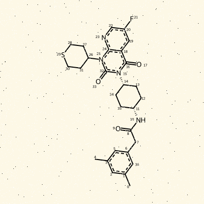 Cc1cc(C)cc(CC(=O)N[C@H]2CC[C@@H](n3c(=O)c4cc(F)cnc4n(C4CCSCC4)c3=O)CC2)c1